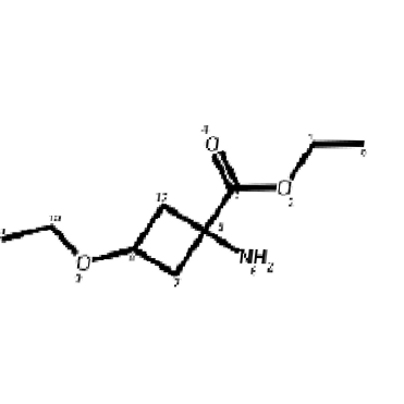 CCOC(=O)C1(N)CC(OCC)C1